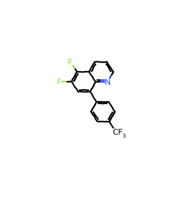 Fc1cc(-c2ccc(C(F)(F)F)cc2)c2ncccc2c1F